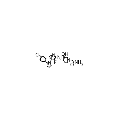 NC(=O)CN1CC[C@H](CNc2ncnc(N3CCCC3c3ccc(Cl)cc3)c2F)[C@@H](O)C1